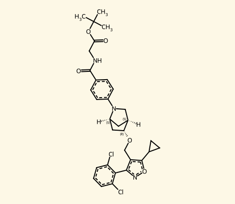 CC(C)(C)OC(=O)CNC(=O)c1ccc(N2C[C@@H]3C[C@H]2C[C@H]3OCc2c(-c3c(Cl)cccc3Cl)noc2C2CC2)cc1